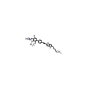 CCCCCc1cc2sc(C#Cc3ccc(-c4cc(F)c(/C=N/O)c(F)c4CC)cc3)cc2s1